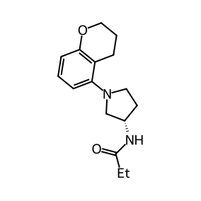 CCC(=O)N[C@H]1CCN(c2cccc3c2CCCO3)C1